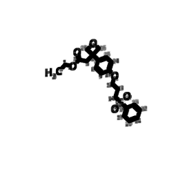 CCOC(=O)CC1(c2ccc(OCCCS(=O)(=O)c3ccccc3)cc2)COC1